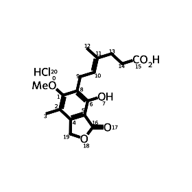 COc1c(C)c2c(c(O)c1C/C=C(\C)CCC(=O)O)C(=O)OC2.Cl